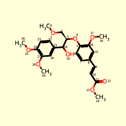 COC[C@@H](Oc1ccc(/C=C/C(=O)OC)cc1OC)C(O)c1ccc(OC)c(OC)c1